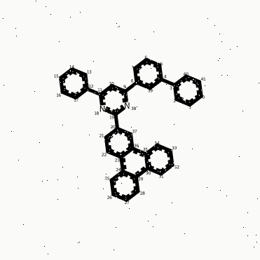 c1ccc(-c2cccc(-c3cc(-c4ccccc4)nc(-c4ccc5c6ccccc6c6ccccc6c5c4)n3)c2)cc1